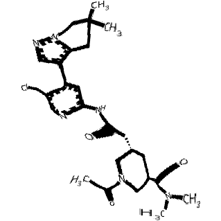 CC(=O)N1C[C@H](CC(=O)Nc2cc(-c3cnn4c3CC(C)(C)C4)c(Cl)cn2)C[C@@H](C(=O)N(C)C)C1